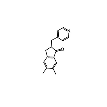 Cc1cc2c(cc1C)C(=O)C(Cc1ccncc1)C2